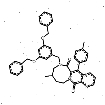 Cc1ccc(-c2c3n(c(=O)c4ncccc24)CC[C@@H](C)CN(Cc2cc(OCc4ccccc4)cc(OCc4ccccc4)c2)C3=O)cc1